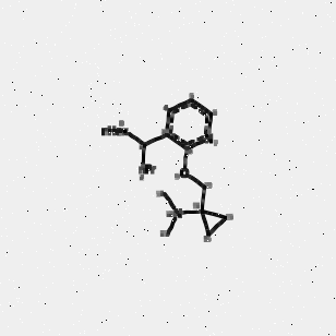 CCCCCCC(CCC)c1cccnc1OCC1(N(C)C)CC1